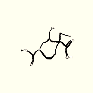 CCC1(C(=O)O)CCN(C(=O)O)CC1O